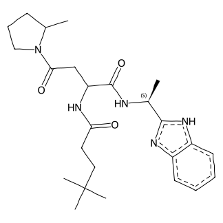 CC1CCCN1C(=O)CC(NC(=O)CCC(C)(C)C)C(=O)N[C@@H](C)c1nc2ccccc2[nH]1